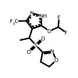 CC(c1c(C(F)(F)F)n[nH]c1OC(F)F)S(=O)(=O)C1=NOCC1